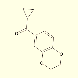 O=C(c1ccc2c(c1)OCCO2)C1CC1